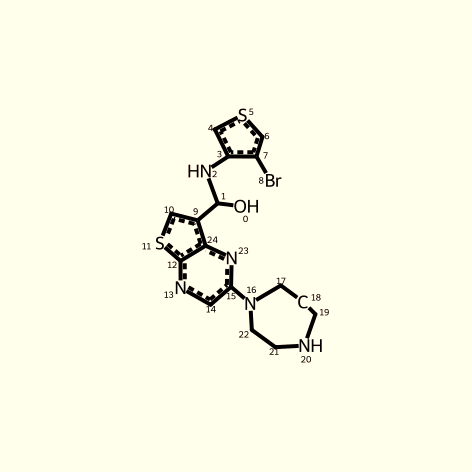 OC(Nc1cscc1Br)c1csc2ncc(N3CCCNCC3)nc12